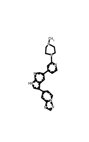 CN1CCN(c2cc(-c3cnc4[nH]cc(-c5ccn6ncnc6c5)c4c3)ccn2)CC1